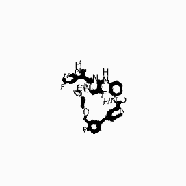 CCOCCOCc1cc(-c2ccnc(C(=O)N[C@H]3CCC[C@@H](Nc4nc(-c5c[nH]c6ncc(F)cc56)ncc4F)C3)c2)ccc1F